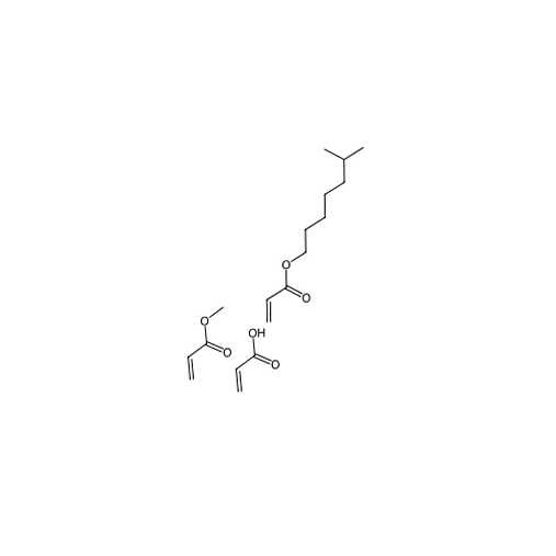 C=CC(=O)O.C=CC(=O)OC.C=CC(=O)OCCCCCC(C)C